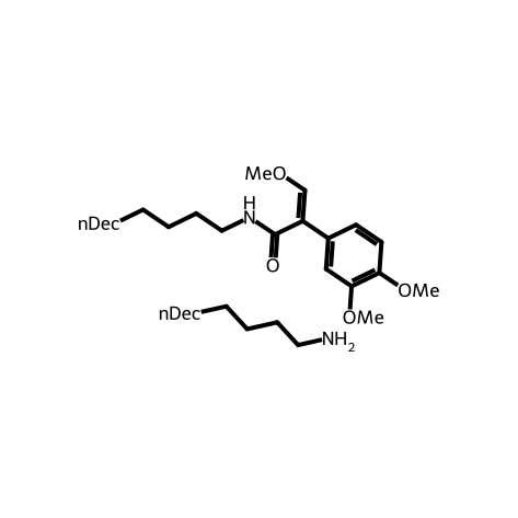 CCCCCCCCCCCCCCN.CCCCCCCCCCCCCCNC(=O)C(=COC)c1ccc(OC)c(OC)c1